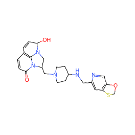 O=c1ccc2c3n1C(CN1CCC(NCc4cc5c(cn4)OCS5)CC1)CN3C(O)C=C2